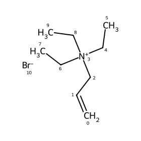 C=CC[N+](CC)(CC)CC.[Br-]